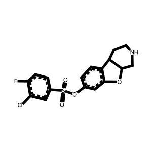 O=S(=O)(Oc1ccc2c(c1)OC1CNCCC21)c1ccc(F)c(Cl)c1